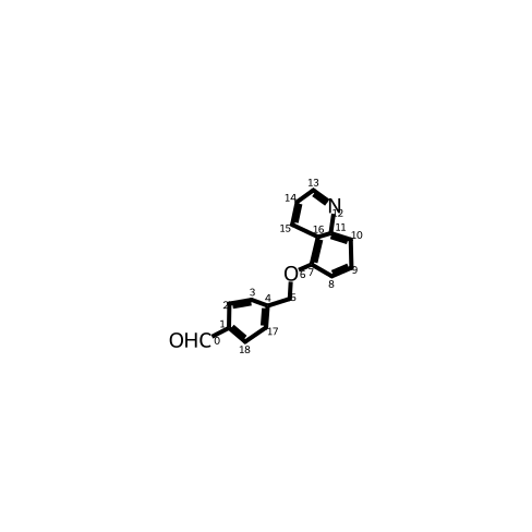 O=Cc1ccc(COc2cccc3ncccc23)cc1